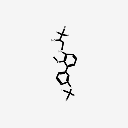 COc1c(NCC(O)C(F)(F)F)cccc1-c1cccc(SC(F)(F)F)c1